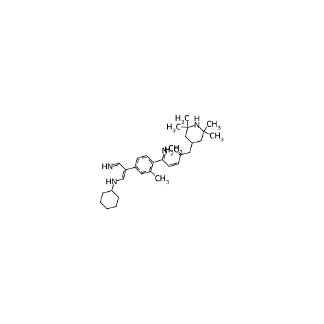 C=C(/C=C\C(=N/C)c1ccc(/C(C=N)=C/NC2CCCCC2)cc1C)CC1CC(C)(C)NC(C)(C)C1